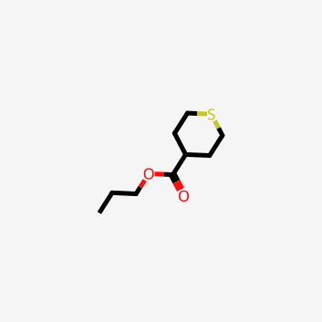 CCCOC(=O)C1CCSCC1